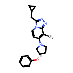 FC(F)(F)c1c(N2CC[C@H](Oc3ccccc3)C2)ccn2c(CC3CC3)nnc12